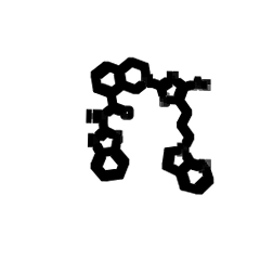 CC(=O)c1nc(N2CCc3cccc(C(=O)Nc4nc5ccccc5s4)c3C2)sc1CCCn1ccc2cccnc21